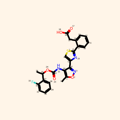 Cc1onc(-c2csc(-c3ccccc3CC(=O)O)n2)c1NC(=O)OC(C)c1ccccc1F